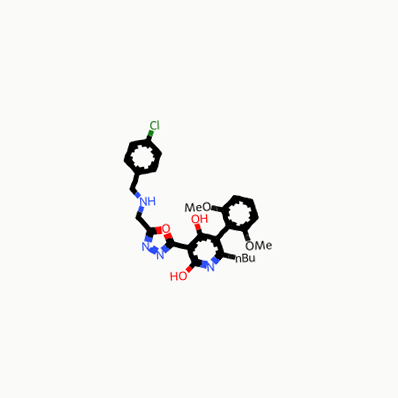 CCCCc1nc(O)c(-c2nnc(CNCc3ccc(Cl)cc3)o2)c(O)c1-c1c(OC)cccc1OC